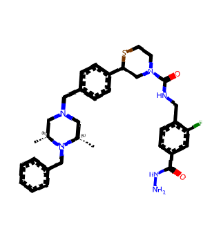 C[C@@H]1CN(Cc2ccc(C3CN(C(=O)NCc4ccc(C(=O)NN)cc4F)CCS3)cc2)C[C@H](C)N1Cc1ccccc1